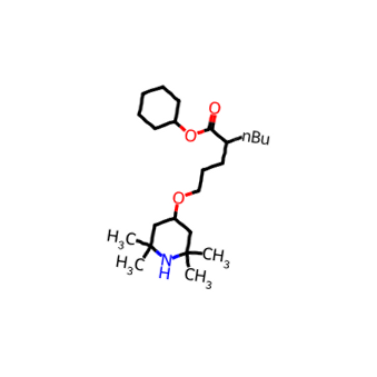 CCCCC(CCCOC1CC(C)(C)NC(C)(C)C1)C(=O)OC1CCCCC1